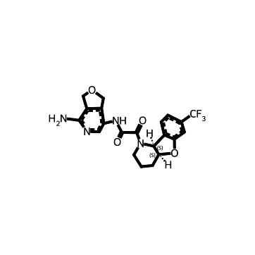 Nc1ncc(NC(=O)C(=O)N2CCC[C@@H]3Oc4cc(C(F)(F)F)ccc4[C@@H]32)c2c1COC2